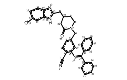 N#Cc1ccc(CN2CCC(Cc3nc4ccc(Cl)cc4[nH]3)CC2=O)cc1N=C(c1ccccc1)c1ccccc1